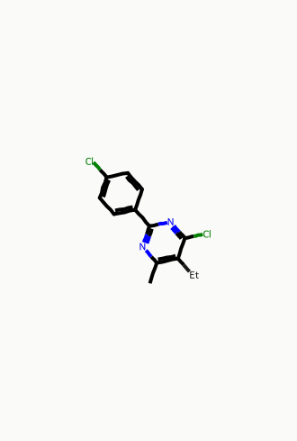 CCc1c(C)nc(-c2ccc(Cl)cc2)nc1Cl